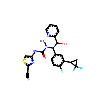 C#Cc1nc(NC(=O)N(C)[C@H](c2ccc(F)c(C3CC3(F)F)c2)C(O)c2ccccn2)cs1